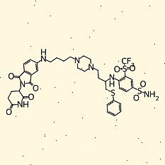 NS(=O)(=O)c1ccc(NC(CCN2CCN(CCCCNc3ccc4c(c3)C(=O)N(C3CCC(=O)NC3=O)C4=O)CC2)CSc2ccccc2)c(S(=O)(=O)C(F)(F)F)c1